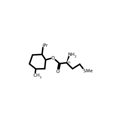 CSCC[C@H](N)C(=O)OC1CC(C)CCC1C(C)C